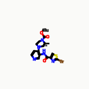 C[C@H]1CN(c2ccncc2NC(=O)c2csc(Br)n2)CCN1C(=O)OC(C)(C)C